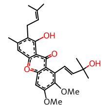 COc1cc2oc3cc(C)c(CC=C(C)C)c(O)c3c(=O)c2c(/C=C/C(C)(C)O)c1OC